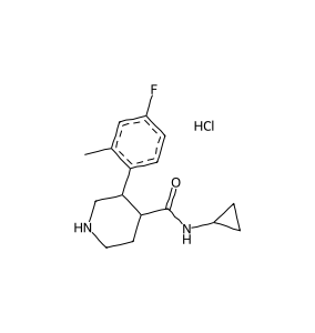 Cc1cc(F)ccc1C1CNCCC1C(=O)NC1CC1.Cl